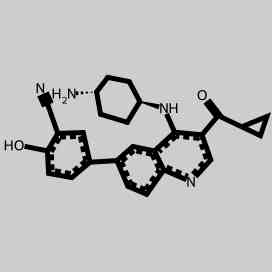 N#Cc1cc(-c2ccc3ncc(C(=O)C4CC4)c(N[C@H]4CC[C@H](N)CC4)c3c2)ccc1O